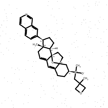 CC1(C[N+](C)([O-])[C@H]2CCC3=CC4=CC[C@]5(C)[C@@H](c6ccc7ccncc7c6)CC[C@H]5[C@@]45CC[C@]3(C2)O5)COC1